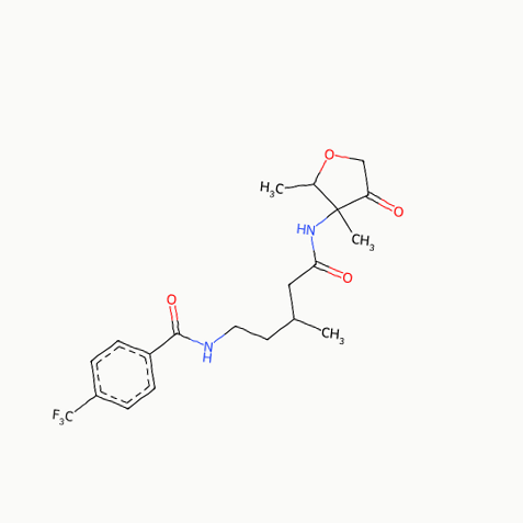 CC(CCNC(=O)c1ccc(C(F)(F)F)cc1)CC(=O)NC1(C)C(=O)COC1C